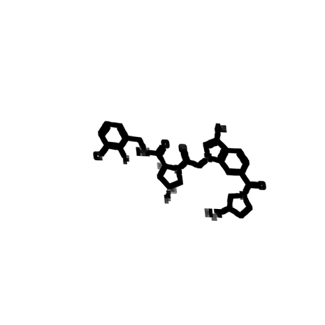 CC(=O)c1cn(CC(=O)N2C[C@H](F)C[C@H]2C(=O)NCc2cccc(Cl)c2F)c2cc(C(=O)N3CCC(N)C3)ccc12